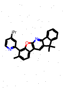 Cc1ccc2c(oc3nc4c(cc32)C(C)(C)c2ccccc2-4)c1-c1cc(C(C)C)ccn1